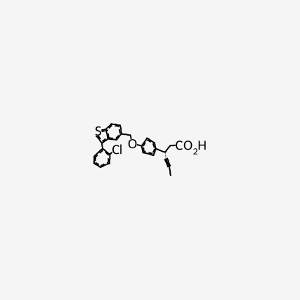 CC#C[C@@H](CC(=O)O)c1ccc(OCc2ccc3scc(-c4ccccc4Cl)c3c2)cc1